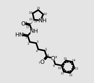 N=C(CCC[CH]C(=O)OCc1ccccc1)NC(=O)[C@@H]1CCCN1